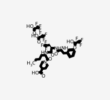 CCCCC(NC(=O)[C@@H](CC(F)(F)F)NC(=O)[C@H](N)Cc1ccccc1)C(=O)N1CCC(C(=O)O)CC1.O=C(O)C(F)(F)F.O=C(O)C(F)(F)F.O=C(O)C(F)(F)F